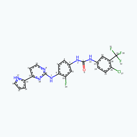 O=C(Nc1ccc(Nc2nccc(-c3ccc[nH]3)n2)c(F)c1)Nc1ccc(Cl)c(C(F)(F)F)c1